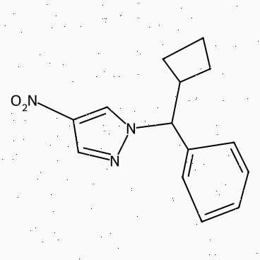 O=[N+]([O-])c1cnn(C(c2ccccc2)C2CCC2)c1